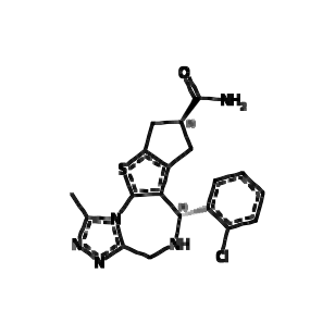 Cc1nnc2n1-c1sc3c(c1[C@H](c1ccccc1Cl)NC2)C[C@H](C(N)=O)C3